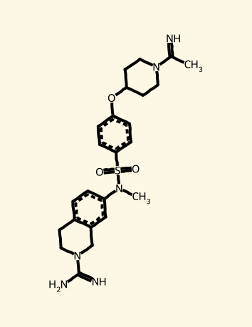 CC(=N)N1CCC(Oc2ccc(S(=O)(=O)N(C)c3ccc4c(c3)CN(C(=N)N)CC4)cc2)CC1